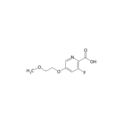 COCCOc1cnc(C(=O)O)c(F)c1